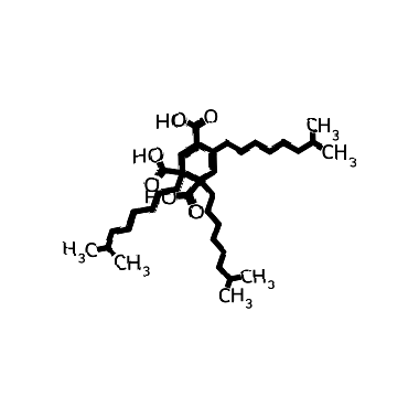 CC(C)CCCCCCC1=CC(CCCCCCC(C)C)(C(=O)O)C(CCCCCCC(C)C)(C(=O)O)C=C1C(=O)O